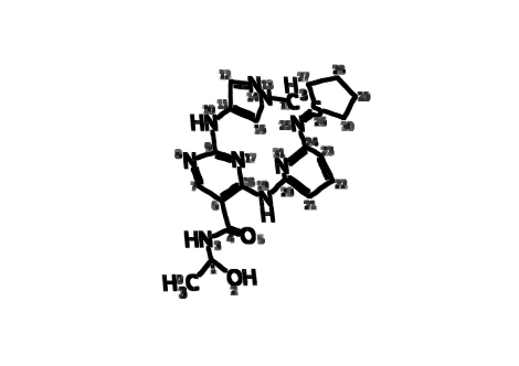 CC(O)NC(=O)c1cnc(Nc2cnn(C)c2)nc1Nc1cccc(N=S2CCCC2)n1